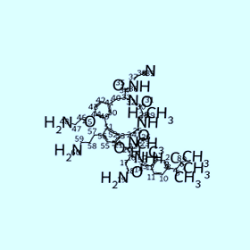 Cc1cc(C(C)C(C)(C)C)ccc1C(=O)N[C@@H](CCN)C(=O)N(C)[C@@H]1C(=O)N[C@@H](C)C(=O)N[C@H](C(=O)NCC#N)Cc2ccc(OCCN)c(c2)-c2cc1ccc2CCCN